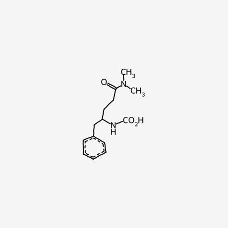 CN(C)C(=O)CCC(Cc1ccccc1)NC(=O)O